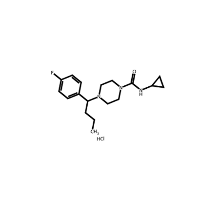 CCCC(c1ccc(F)cc1)N1CCN(C(=O)NC2CC2)CC1.Cl